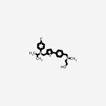 CC(C)N(Cc1ccc(-c2ccc(CN(C)CCO)cc2)s1)c1ccc(F)cc1